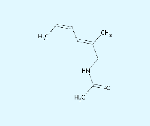 C/C=C\C=C(/C)CNC(C)=O